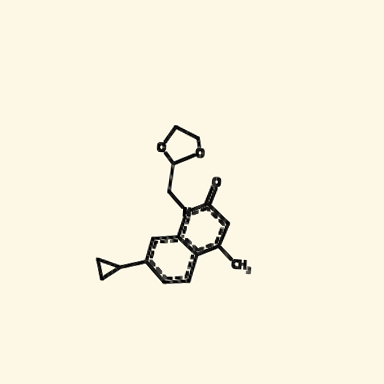 Cc1cc(=O)n(CC2OCCO2)c2cc(C3CC3)ccc12